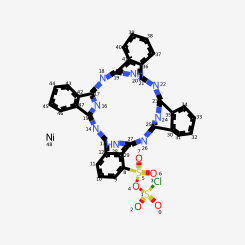 O=S(=O)(Cl)OS(=O)(=O)c1cccc2c3nc4nc(nc5[nH]c(nc6nc(nc([nH]3)c12)-c1ccccc1-6)c1ccccc51)-c1ccccc1-4.[Ni]